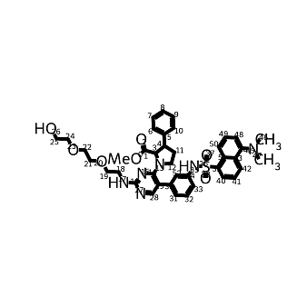 COC(=O)C1C(c2ccccc2)CCN1c1nc(NCCOCCOCCO)ncc1-c1cccc(NS(=O)(=O)c2cccc3c(N(C)C)cccc23)c1